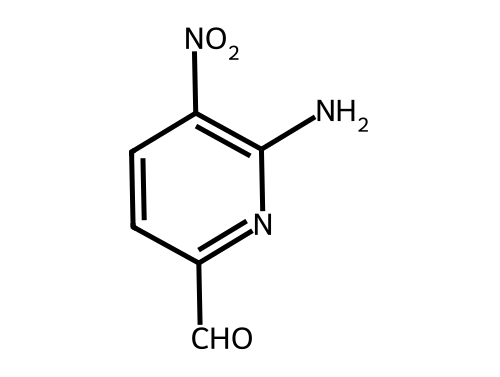 Nc1nc(C=O)ccc1[N+](=O)[O-]